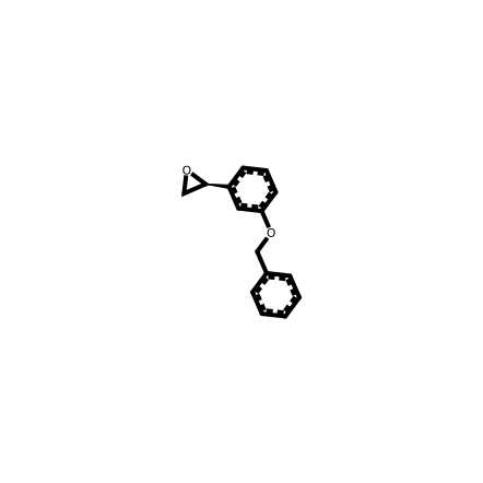 c1ccc(COc2cccc([C@H]3CO3)c2)cc1